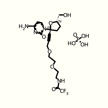 Nc1ccn([C@@]2(C#CCOCCOCCNC(=O)C(F)(F)F)CC[C@@H](CO)O2)c(=O)n1.O=P(O)(O)O